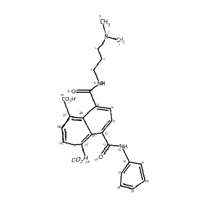 CN(C)CCCNC(=O)c1ccc(C(=O)Nc2ccccc2)c2c(C(=O)O)ccc(C(=O)O)c12